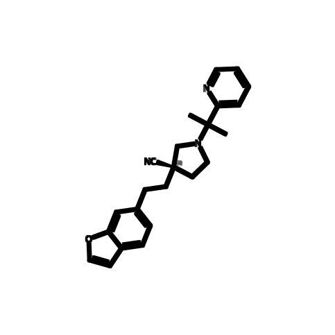 CC(C)(c1ccccn1)N1CC[C@](C#N)(CCc2ccc3ccoc3c2)C1